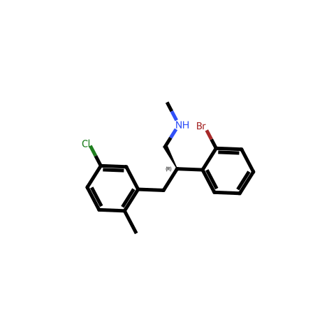 CNC[C@H](Cc1cc(Cl)ccc1C)c1ccccc1Br